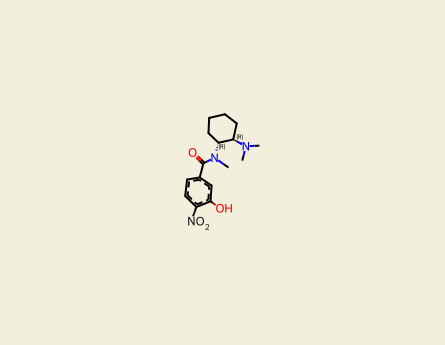 CN(C)[C@@H]1CCCC[C@H]1N(C)C(=O)c1ccc([N+](=O)[O-])c(O)c1